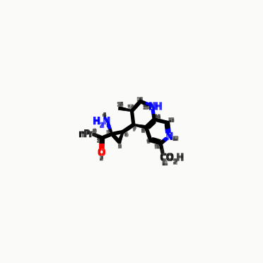 CCCC(=O)[C@@]1(N)C[C@@H]1[C@@H]1c2cc(C(=O)O)ncc2NC[C@@H]1C